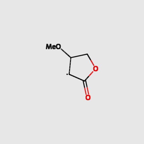 COC1[CH]C(=O)OC1